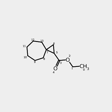 CCOC(=O)C1CC12CCCCCC2